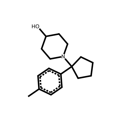 Cc1ccc(C2(N3CCC(O)CC3)CCCC2)cc1